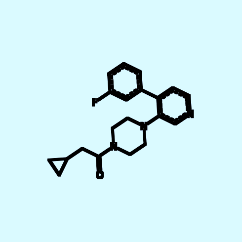 O=C(CC1CC1)N1CCN(c2cnccc2-c2cccc(F)c2)CC1